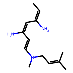 C\C=C(N)/C=C(N)\C=C\N(C)CC=C(C)C